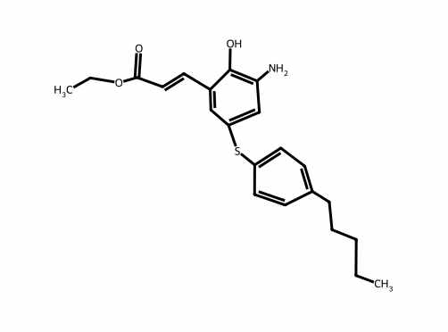 CCCCCc1ccc(Sc2cc(N)c(O)c(C=CC(=O)OCC)c2)cc1